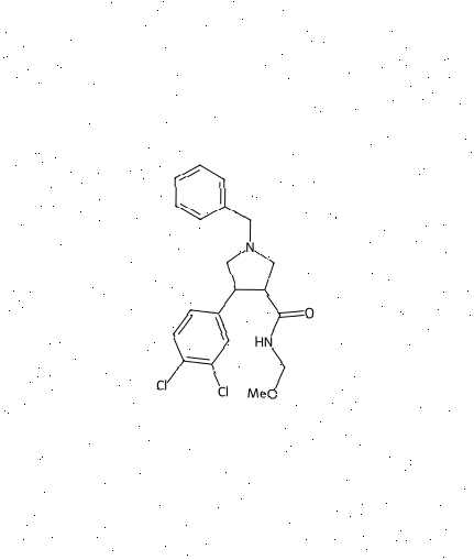 COCNC(=O)C1CN(Cc2ccccc2)CC1c1ccc(Cl)c(Cl)c1